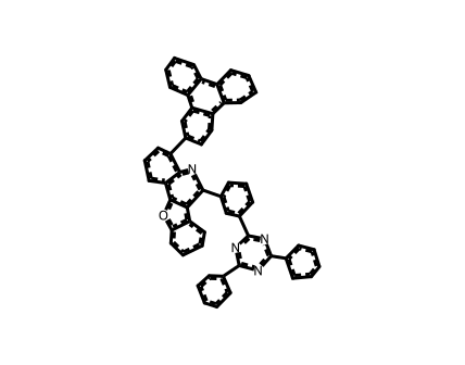 c1ccc(-c2nc(-c3ccccc3)nc(-c3cccc(-c4nc5c(-c6ccc7c8ccccc8c8ccccc8c7c6)cccc5c5oc6ccccc6c45)c3)n2)cc1